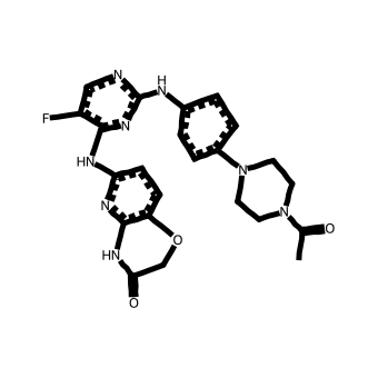 CC(=O)N1CCN(c2ccc(Nc3ncc(F)c(Nc4ccc5c(n4)NC(=O)CO5)n3)cc2)CC1